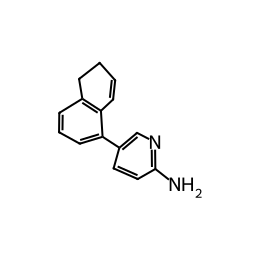 Nc1ccc(-c2cccc3c2C=CCC3)cn1